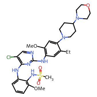 CCc1cc(Nc2ncc(Cl)c(Nc3cccc(OC)c3NS(C)(=O)=O)n2)c(OC)cc1N1CCC(N2CCOCC2)CC1